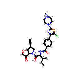 C#CC1CN(C(=O)C(NC(=O)c2ccc(-c3nc(N4CCN(C)CC4)sc3F)cc2)C(C)CC)C2C(=O)COC12